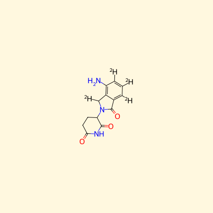 [2H]c1c([2H])c(N)c2c(c1[2H])C(=O)N(C1CCC(=O)NC1=O)C2[2H]